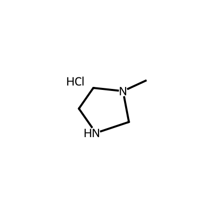 CN1CCNC1.Cl